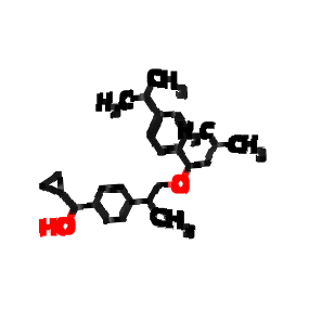 CC(C)CC(OCC(C)c1ccc(C(O)C2CC2)cc1)c1ccc(C(C)C)cc1